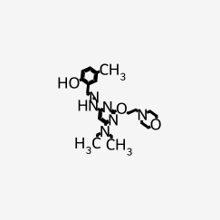 CCN(CC)c1cc(N/N=C/c2cc(C)ccc2O)nc(OCCN2CCOCC2)n1